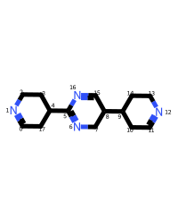 C1=NCCC(C2=NCC(C3CC=NCC3)C=N2)C1